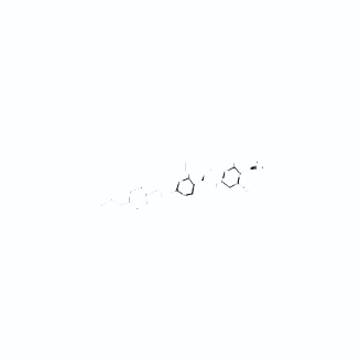 CCCCC1CCC(COc2ccc(C(=O)Oc3cc(F)c(C#N)c(F)c3)c(F)c2)CC1